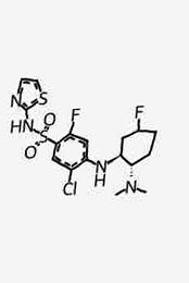 CN(C)[C@H]1CCC(F)C[C@@H]1Nc1cc(F)c(S(=O)(=O)Nc2nccs2)cc1Cl